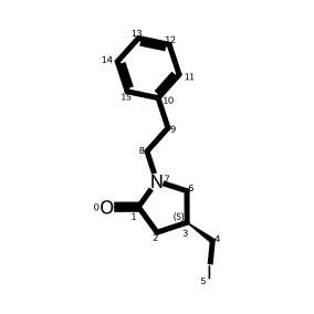 O=C1C[C@H](CI)CN1CCc1ccccc1